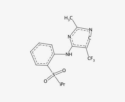 Cc1ncc(C(F)(F)F)c(Nc2ccccc2S(=O)(=O)C(C)C)n1